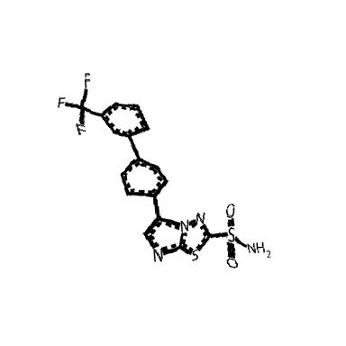 NS(=O)(=O)c1nn2c(-c3ccc(-c4cccc(C(F)(F)F)c4)cc3)cnc2s1